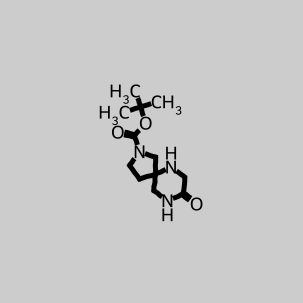 CC(C)(C)OC(=O)N1CCC2(CNC(=O)CN2)C1